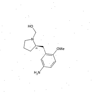 COc1ccc(N)cc1C[C@H]1CCCN1CO